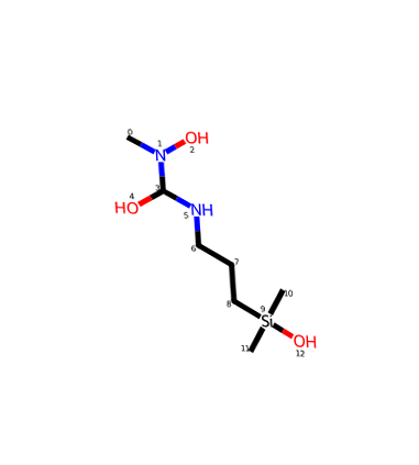 CN(O)C(O)NCCC[Si](C)(C)O